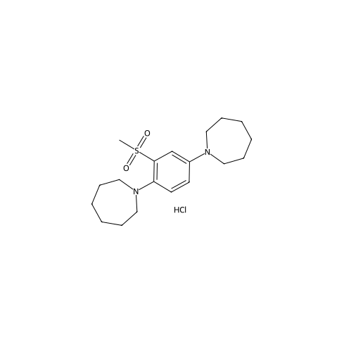 CS(=O)(=O)c1cc(N2CCCCCC2)ccc1N1CCCCCC1.Cl